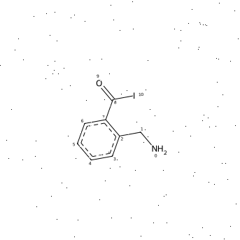 NCc1ccccc1C(=O)I